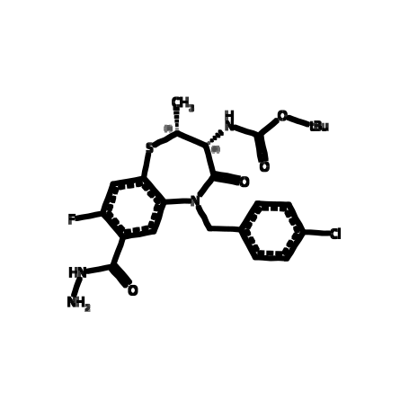 C[C@H]1Sc2cc(F)c(C(=O)NN)cc2N(Cc2ccc(Cl)cc2)C(=O)[C@H]1NC(=O)OC(C)(C)C